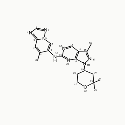 Cc1cc2ncnn2cc1Nc1ncc2c(C)nn([C@@H]3CCOC(C)(C)C3)c2n1